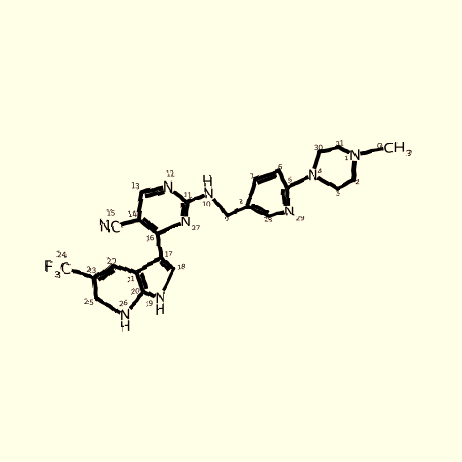 CN1CCN(c2ccc(CNc3ncc(C#N)c(-c4c[nH]c5c4C=C(C(F)(F)F)CN5)n3)cn2)CC1